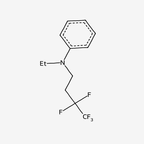 CCN(CCC(F)(F)C(F)(F)F)c1ccccc1